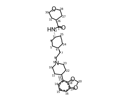 O=C(N[C@H]1CC[C@H](CCN2CCC(c3cccc4c3OCO4)CC2)CC1)C1CCOCC1